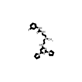 CN(CCNC(=S)Nc1cccc(F)c1)CCNc1cc(-n2cccc2)nc(-n2cccc2)n1